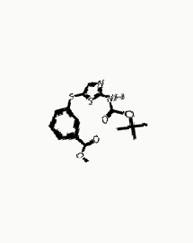 COC(=O)c1cccc(Sc2cnc(NC(=O)OC(C)(C)C)s2)c1